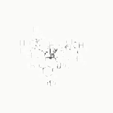 CN1C(C)(C)CCC(OP(Oc2c(C(C)(C)C)cc(C(C)(C)C)cc2C(C)(C)C)OC2CCC(C)(C)N(C)C2(C)C)C1(C)C